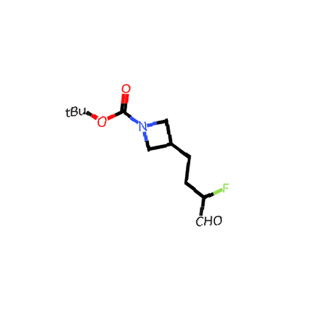 CC(C)(C)OC(=O)N1CC(CCC(F)C=O)C1